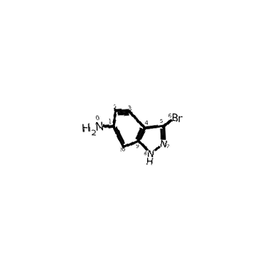 Nc1ccc2c(Br)n[nH]c2c1